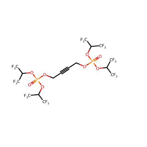 O=P(OCC#CCOP(=O)(OC(C(F)(F)F)C(F)(F)F)OC(C(F)(F)F)C(F)(F)F)(OC(C(F)(F)F)C(F)(F)F)OC(C(F)(F)F)C(F)(F)F